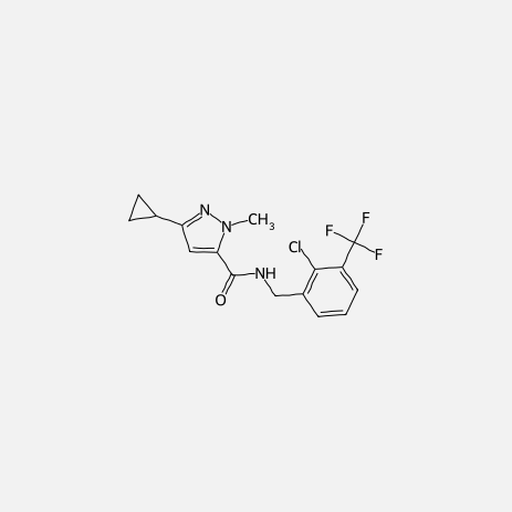 Cn1nc(C2CC2)cc1C(=O)NCc1cccc(C(F)(F)F)c1Cl